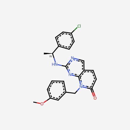 COc1cccc(Cn2c(=O)ccc3cnc(N[C@@H](C)c4ccc(Cl)cc4)nc32)c1